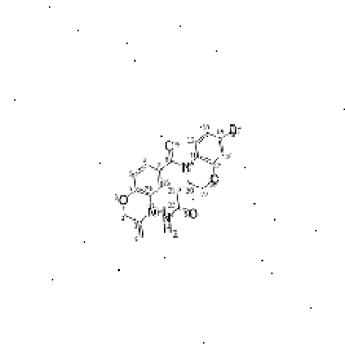 C=C1COc2ccc(C(=O)N3c4ccc(Br)cc4OC[C@@H]3CC(N)=O)cc2N1